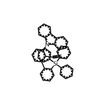 N#Cc1c(-c2ccccc2[Si](c2ccccc2)(c2ccccc2)c2ccccc2)cccc1-n1c2ccccc2c2ccccc21